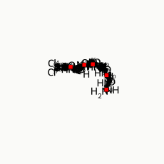 Cn1cc(NC(=O)c2cc(NC(=O)c3cc(NC(=O)c4nc5cc(NC(=O)c6ccc(N(CCCl)CCCl)cc6)ccc5s4)cn3C)cn2C)cc1C(=O)NCCC(=N)N